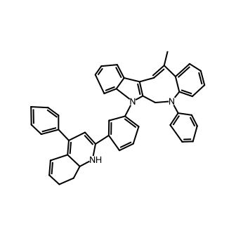 C/C1=C\c2c(n(-c3cccc(C4=CC(c5ccccc5)=C5C=CCCC5N4)c3)c3ccccc23)CN(c2ccccc2)c2ccccc21